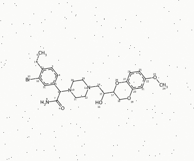 CCc1ccc(C(C(N)=O)N2CCN(CC(O)C3COc4cc(OC)ccc4O3)CC2)cc1Br